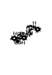 O=S(=O)(O)c1ccccc1C=Cc1cccc(Nc2ncnc(C3CN(Nc4ccccc4)CCO3)n2)c1S(=O)(=O)O